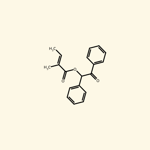 CC=C(C)C(=O)OC(C(=O)c1ccccc1)c1ccccc1